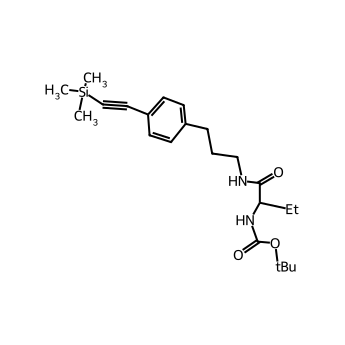 CCC(NC(=O)OC(C)(C)C)C(=O)NCCCc1ccc(C#C[Si](C)(C)C)cc1